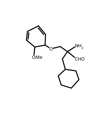 COC1C=CC=CC1OCC(N)(C=O)CC1CCCCC1